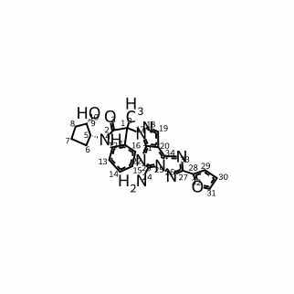 CC(C(=O)N[C@@H]1CCC[C@@H]1O)(c1ccccc1)n1ncc2c1nc(N)n1nc(-c3ccco3)nc21